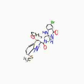 COc1cc(C(=O)N2CCC3(CC2)NC(=O)c2cc(Br)ccc2N3)nc2c(SC)cccc12